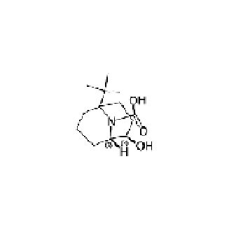 CC(C)(C)C12CCC[C@@H]([C@H](O)CC1)N2C(=O)O